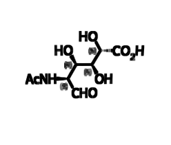 CC(=O)N[C@H](C=O)[C@@H](O)[C@H](O)[C@H](O)C(=O)O